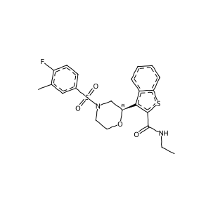 CCNC(=O)c1sc2ccccc2c1[C@@H]1CN(S(=O)(=O)c2ccc(F)c(C)c2)CCO1